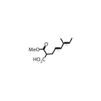 C/C=C(C)/C=C/CC(C(=O)O)C(=O)OC